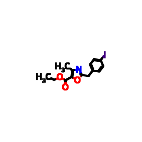 CCOC(=O)c1oc(Cc2ccc(I)cc2)nc1C